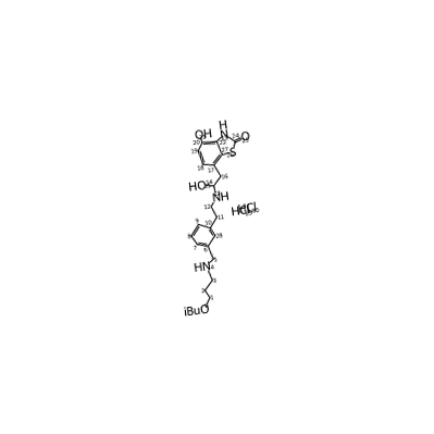 CC(C)COCCCNCc1cccc(CCNC(O)Cc2ccc(O)c3[nH]c(=O)sc23)c1.Cl.Cl